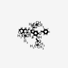 CC(C)(C)OC(=O)CNc1c(OCc2ccccc2)cc2c(c1F)C[C@H](CN(CC1CCOCC1)C(=O)OC(C)(C)C)N2C(=O)OC(C)(C)C